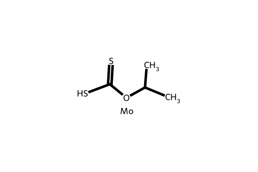 CC(C)OC(=S)S.[Mo]